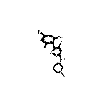 Cc1cc(F)cc(O)c1-c1nnc(N[C@@H]2CCCN(C)C2)cc1F